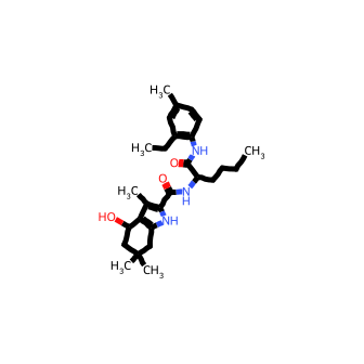 CCCCC(NC(=O)c1[nH]c2c(c1C)C(O)CC(C)(C)C2)C(=O)Nc1ccc(C)cc1CC